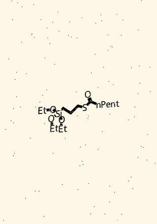 CCCCCC(=O)SCCC[Si](OCC)(OCC)OCC